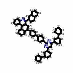 c1ccc(-c2cccc(-c3cc(-c4cccc(-c5ccccc5)c4)nc(-c4ccc(-c5ccc(-c6cc7c(-c8ccc9ccccc9c8)nc8ccccc8c7c7ccccc67)cc5)cc4)n3)c2)cc1